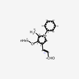 CCCCCCOc1c(/C=C/C=O)cn(-c2ccccc2)c1C